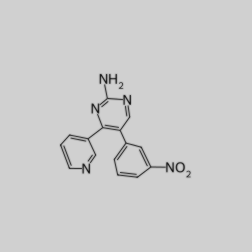 Nc1ncc(-c2cccc([N+](=O)[O-])c2)c(-c2cccnc2)n1